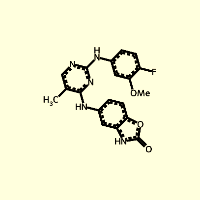 COc1cc(Nc2ncc(C)c(Nc3ccc4oc(=O)[nH]c4c3)n2)ccc1F